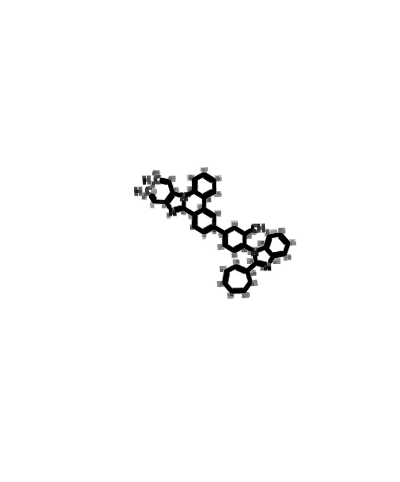 C=Cc1nc2c3ccc(C4=CC=C(n5c(C6=CC=CC=CC6)nc6ccccc65)C(C)C4)cc3c3ccccc3n2c1C=C